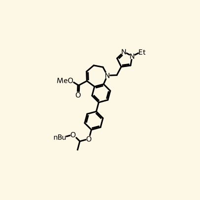 CCCCOC(C)Oc1ccc(-c2ccc3c(c2)C(C(=O)OC)=CCCN3Cc2cnn(CC)c2)cc1